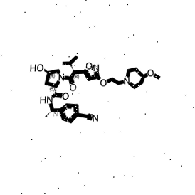 COC1CCN(CCOc2cc([C@H](C(=O)N3C[C@H](O)C[C@H]3C(=O)N[C@@H](C)c3ccc(C#N)cc3)C(C)C)on2)CC1